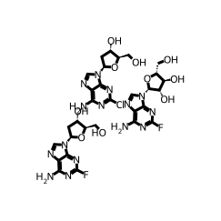 Nc1nc(Cl)nc2c1ncn2[C@H]1C[C@H](O)[C@@H](CO)O1.Nc1nc(F)nc2c1ncn2[C@@H]1O[C@H](CO)[C@@H](O)[C@@H]1O.Nc1nc(F)nc2c1ncn2[C@H]1C[C@H](O)[C@@H](CO)O1